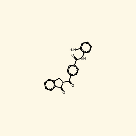 Nc1ccccc1NC(=O)c1ccc(C(=O)N2Cc3ccccc3C2=O)cc1